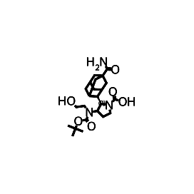 CC(C)(C)OC(=O)N(CCO)C1CCN(C(=O)O)[C@@H]1C1C2CC3CC1CC(C(N)=O)(C3)C2